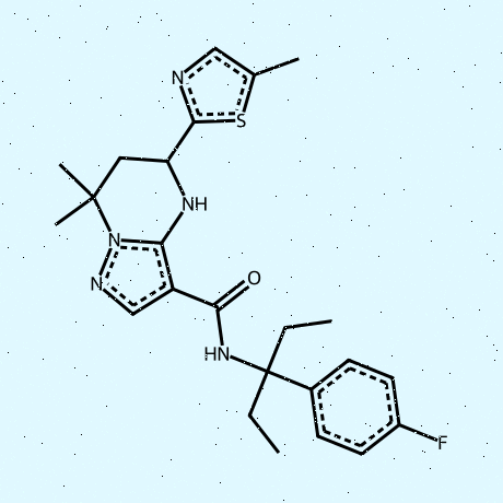 CCC(CC)(NC(=O)c1cnn2c1NC(c1ncc(C)s1)CC2(C)C)c1ccc(F)cc1